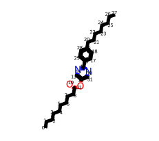 CCCCCCCCCC(=O)Oc1cnc(-c2ccc(CCCCCCCC)cc2)nc1